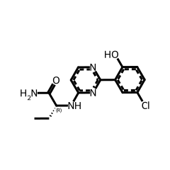 CC[C@@H](Nc1ccnc(-c2cc(Cl)ccc2O)n1)C(N)=O